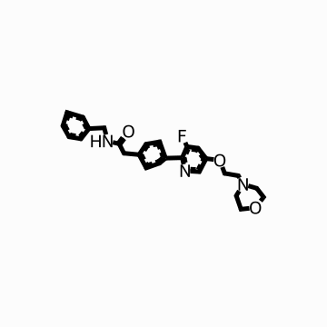 O=C(Cc1ccc(-c2ncc(OCCN3CCOCC3)cc2F)cc1)NCc1ccccc1